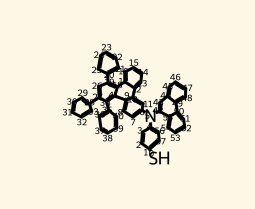 Sc1ccc(N(c2ccc3c(c2)c2ccccc2c2c(-c4ccccc4)cc(-c4ccccc4)c(-c4ccccc4)c32)c2cc3ccccc3c3ccccc23)cc1